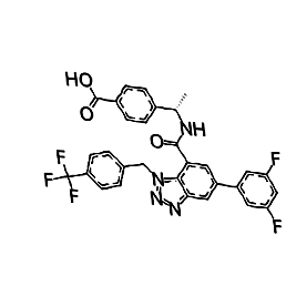 C[C@H](NC(=O)c1cc(-c2cc(F)cc(F)c2)cc2nnn(Cc3ccc(C(F)(F)F)cc3)c12)c1ccc(C(=O)O)cc1